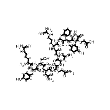 N=C(N)NCCC[C@H](NC(=O)CNC(=O)[C@H](CC(N)=O)NC(=O)[C@H](CCC(N)=O)NC(=O)[C@H](CC(N)=O)NC(=O)[C@H](CO)NC(=O)[C@H](Cc1ccc(O)cc1)NC(=O)[C@@H](N)CCCNC(=N)N)C(=O)N[C@@H](Cc1ccccc1)C(=O)N[C@@H](Cc1ccc(O)cc1)C(=O)N[C@@H](CCC(=O)O)C(=O)O